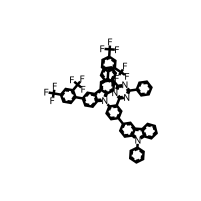 FC(F)(F)c1ccc(-c2ccc3c(c2)c2cc(-c4ccc(C(F)(F)F)cc4C(F)(F)F)ccc2n3-c2ccc(-c3ccc4c(c3)c3ccccc3n4-c3ccccc3)cc2-c2nc(-c3ccccc3)nc(-c3ccccc3)n2)c(C(F)(F)F)c1